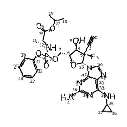 C#C[C@@]1(F)[C@H](O)[C@@H](CO[P@@](=O)(N[C@H](C)C(=O)OC(C)C)Oc2ccccc2)O[C@H]1n1cnc2c(NC3CC3)nc(N)nc21